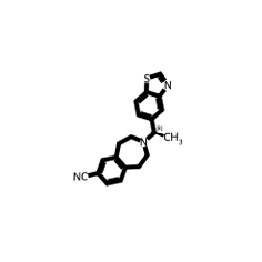 C[C@H](c1ccc2scnc2c1)N1CCc2ccc(C#N)cc2CC1